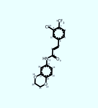 O=C(/C=C/c1ccc(C(F)(F)F)c(Cl)c1)Nc1ccc2c(c1)OCCO2